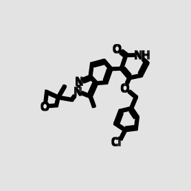 Cc1c2cc(-c3c(OCc4ccc(Cl)cc4)cc[nH]c3=O)ccc2nn1CC1(C)COC1